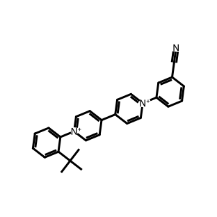 CC(C)(C)c1ccccc1-[n+]1ccc(-c2cc[n+](-c3cccc(C#N)c3)cc2)cc1